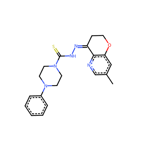 Cc1cnc2c(c1)OCC/C2=N/NC(=S)N1CCN(c2ccccc2)CC1